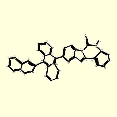 Cn1c(=O)n2c3ccc(-c4c5ccccc5c(-c5ccc6ccccc6c5)c5ccccc45)cc3cc2c2ccccc21